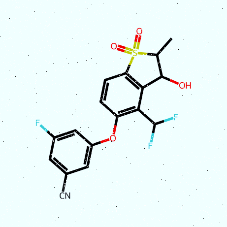 CC1C(O)c2c(ccc(Oc3cc(F)cc(C#N)c3)c2C(F)F)S1(=O)=O